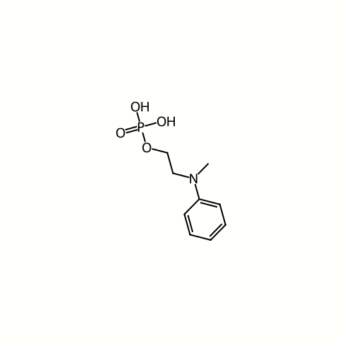 CN(CCOP(=O)(O)O)c1ccccc1